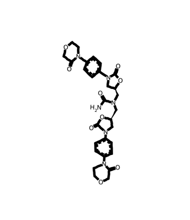 NC(=O)N(C[C@H]1CN(c2ccc(N3CCOCC3=O)cc2)C(=O)O1)C[C@H]1CN(c2ccc(N3CCOCC3=O)cc2)C(=O)O1